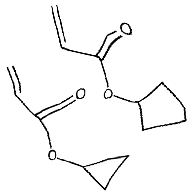 C=CC(=O)OC1CC1.C=CC(=O)OC1CCC1